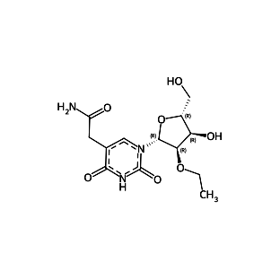 CCO[C@@H]1[C@H](O)[C@@H](CO)O[C@H]1n1cc(CC(N)=O)c(=O)[nH]c1=O